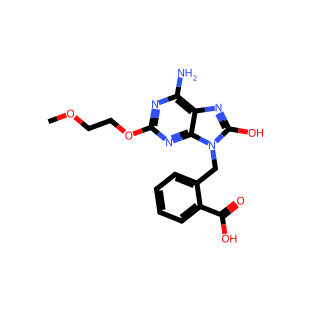 COCCOc1nc(N)c2nc(O)n(Cc3ccccc3C(=O)O)c2n1